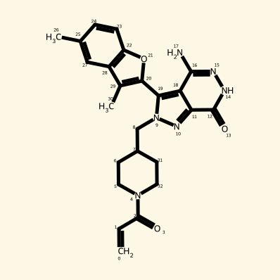 C=CC(=O)N1CCC(Cn2nc3c(=O)[nH]nc(N)c3c2-c2oc3ccc(C)cc3c2C)CC1